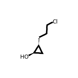 O[C@@H]1C[C@H]1CCCCl